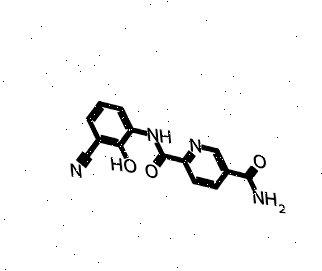 N#Cc1cccc(NC(=O)c2ccc(C(N)=O)cn2)c1O